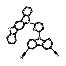 N#Cc1ccc2c(c1)c1cc(C#N)ccc1n2-c1cccc(-n2c3ccccc3c3cc4sc5ccccc5c4cc32)n1